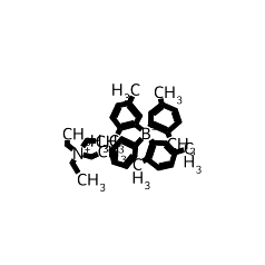 CC[N+](CC)(CC)CC.Cc1ccc(C)c([B-](c2ccccc2)(c2cc(C)ccc2C)c2cc(C)ccc2C)c1